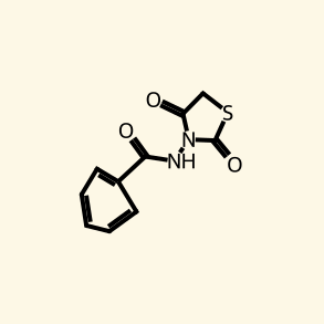 O=C(NN1C(=O)CSC1=O)c1ccccc1